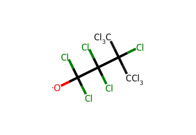 [O]C(Cl)(Cl)C(Cl)(Cl)C(Cl)(C(Cl)(Cl)Cl)C(Cl)(Cl)Cl